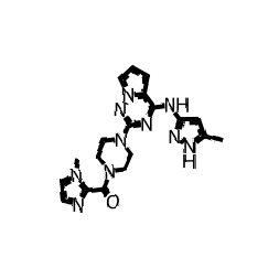 Cc1cc(Nc2nc(N3CCN(C(=O)c4nccn4C)CC3)nn3cccc23)n[nH]1